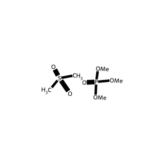 COP(=O)(OC)OC.CS(C)(=O)=O